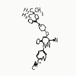 [C-]#[N+]c1ccc(-n2nc(C#N)c(OC3CCN(C(=O)OC(C)(C)C)CC3)cc2=O)cn1